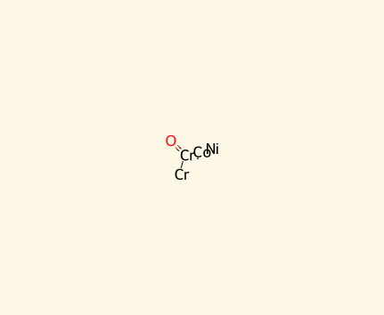 [Co].[Ni].[O]=[Cr][Cr]